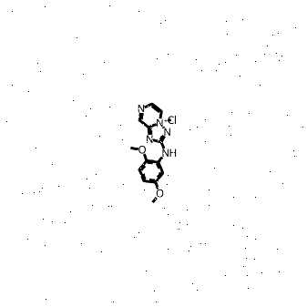 COc1ccc(OC)c(NC2=N[N+]3(Cl)C=CN=CC3=N2)c1